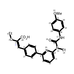 CCO/C(=C/c1ccc(-c2cccc(N(CC)C(=O)Nc3ccc(OC)cc3)n2)cc1)C(=O)O